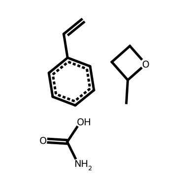 C=Cc1ccccc1.CC1CCO1.NC(=O)O